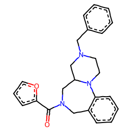 O=C(c1ccco1)N1Cc2ccccc2N2CCN(Cc3ccccc3)CC2C1